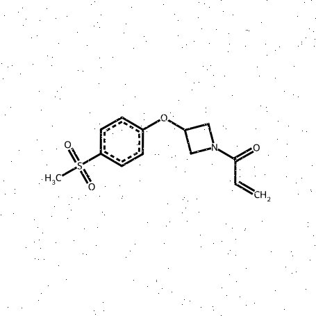 C=CC(=O)N1CC(Oc2ccc(S(C)(=O)=O)cc2)C1